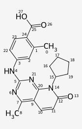 Cc1cc(Nc2nc(C)c3ccc(=O)n(C4CCCC4)c3n2)ccc1C(=O)O